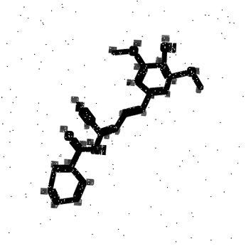 COc1cc(/C=C/C=C(\C#N)NC(=O)c2ccccc2)cc(OC)c1O